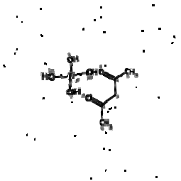 CC(=O)CC(C)=O.[OH][Ti]([OH])([OH])[OH]